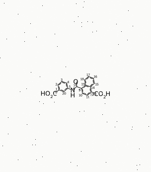 O=C(O)c1cccc(NC(=O)c2ccc(C(=O)O)c3ccccc23)c1